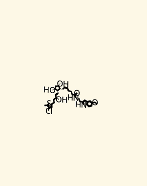 COc1ccc2[nH]c(CCNC(=O)CCC/C=C\C[C@@H]3[C@@H](/C=C/[C@@H](O)CCc4cc(Cl)c(C)s4)[C@H](O)C[C@@H]3O)cc2c1